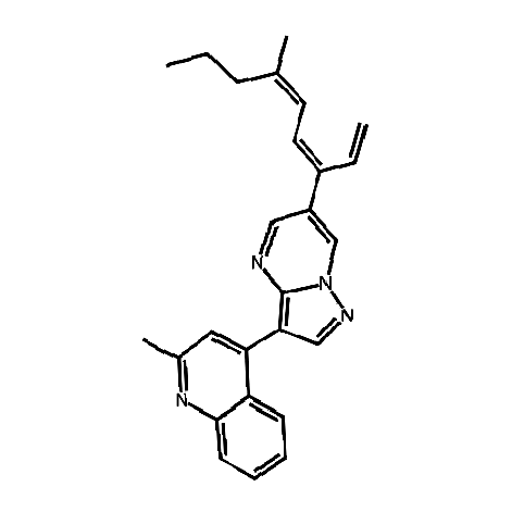 C=C/C(=C\C=C(\C)CCC)c1cnc2c(-c3cc(C)nc4ccccc34)cnn2c1